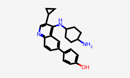 NC1CCC(Nc2c(C3CC3)cnc3ccc(-c4ccc(O)cc4)cc23)CC1